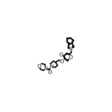 O=C(N1CCOCC1)N1CCC(COc2coc(Cn3cc4ccccc4c3)cc2=O)CC1